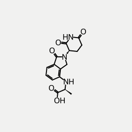 C[C@H](Nc1cccc2c1CN([C@@H]1CCC(=O)NC1=O)C2=O)C(=O)O